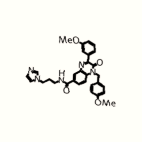 COc1ccc(Cn2c(=O)c(-c3cccc(OC)c3)nc3cc(C(=O)NCCCn4ccnc4)ccc32)cc1